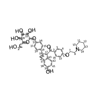 O=C(c1ccc(OCCN2CCCCC2)cc1)c1c(-c2ccc(OC3O[C@H](C(=O)O)[C@@H](O)[C@H](O)[C@H]3O)cc2)sc2cc(O)ccc12